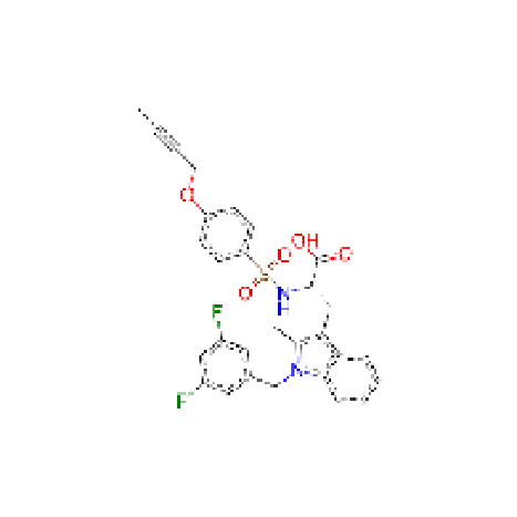 CC#CCOc1ccc(S(=O)(=O)N[C@@H](Cc2c(C)n(Cc3cc(F)cc(F)c3)c3ccccc23)C(=O)O)cc1